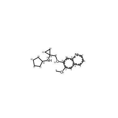 COc1cc2cccnc2cc1OCC1(NC2CCCC2)CC1